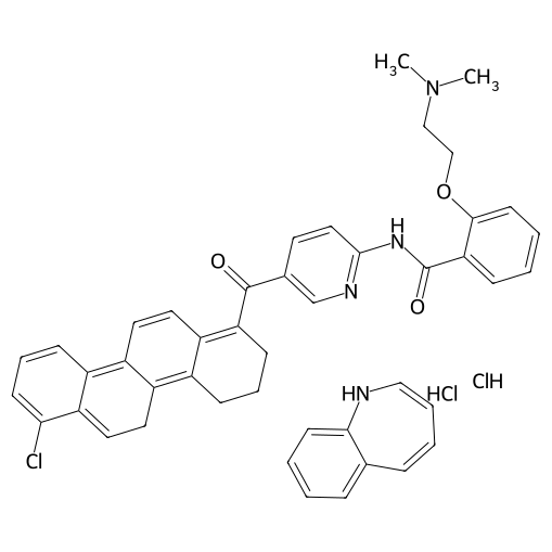 C1=CNc2ccccc2C=C1.CN(C)CCOc1ccccc1C(=O)Nc1ccc(C(=O)C2=c3ccc4c(c3CCC2)CC=c2c(Cl)cccc2=4)cn1.Cl.Cl